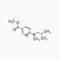 COC(=O)c1ccc(N(C)CC(C)C)nc1